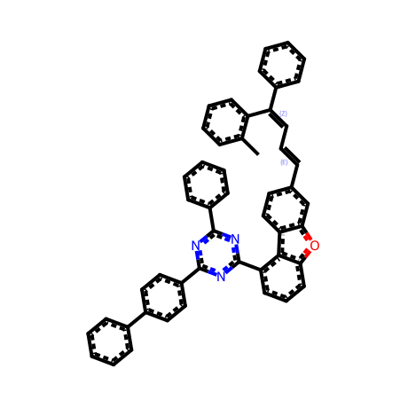 Cc1ccccc1/C(=C\C=C\c1ccc2c(c1)oc1cccc(-c3nc(-c4ccccc4)nc(-c4ccc(-c5ccccc5)cc4)n3)c12)c1ccccc1